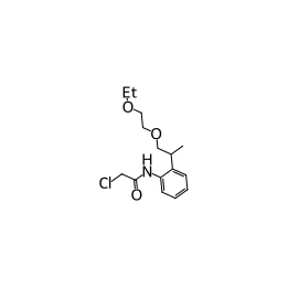 CCOCCOCC(C)c1ccccc1NC(=O)CCl